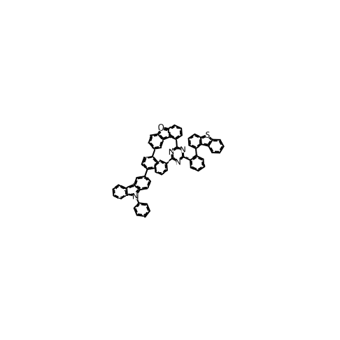 c1ccc(-c2nc(-c3ccccc3-c3cccc4sc5ccccc5c34)nc(-c3cccc4oc5ccc(-c6ccc(-c7ccc8c(c7)c7ccccc7n8-c7ccccc7)cc6)cc5c34)n2)cc1